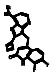 CCNc1ccnc2c1nc(C1=CC=C1)n2Cc1cc(=O)[nH]c2c(F)c(F)ccc12